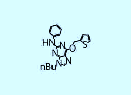 CCCCn1cnc2c(OCc3cccs3)nc(Nc3ccccc3)nc21